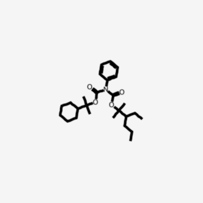 CCCC(CC)C(C)(C)OC(=O)N(C(=O)OC(C)(C)C1CCCCC1)c1ccccc1